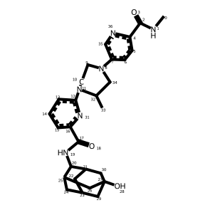 CNC(=O)c1ccc(N2CCN(c3cccc(C(=O)NC4C5CC6CC4CC(O)(C6)C5)n3)C(C)C2)cn1